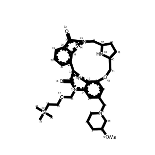 COC1CCCN(Cc2cc3c4nc(c(=O)n(COCC[Si](C)(C)C)c4c2)-c2cccc4c(=O)n(sc24)CC2CCC(CO3)N2)C1